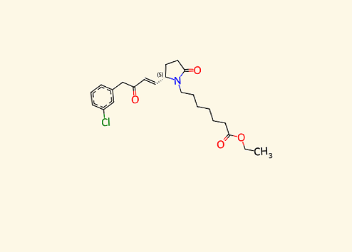 CCOC(=O)CCCCCCN1C(=O)CC[C@H]1C=CC(=O)Cc1cccc(Cl)c1